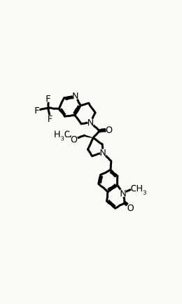 COC[C@]1(C(=O)N2CCc3ncc(C(F)(F)F)cc3C2)CCN(Cc2ccc3ccc(=O)n(C)c3c2)C1